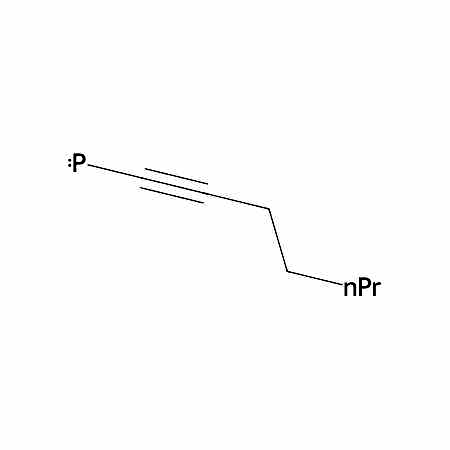 CCCCCC#C[P]